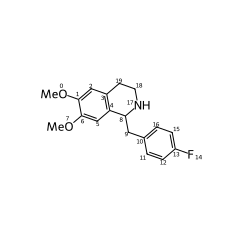 COc1cc2c(cc1OC)C(Cc1ccc(F)cc1)NCC2